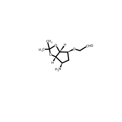 CC1(C)O[C@@H]2[C@H](O1)[C@@H](OCC=O)C[C@H]2N